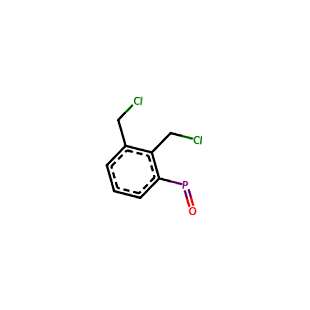 O=Pc1cccc(CCl)c1CCl